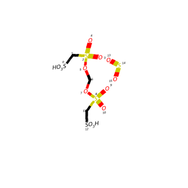 O=S(=O)(O)CS(=O)(=O)OCOS(=O)(=O)CS(=O)(=O)O.O=S=O